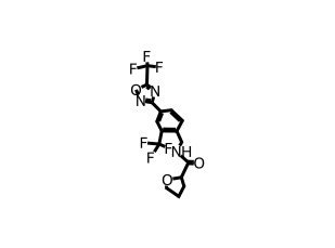 O=C(NCc1ccc(-c2noc(C(F)(F)F)n2)cc1C(F)(F)F)C1CCCO1